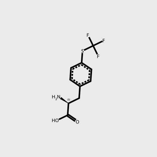 N[C@@H](Cc1ccc(SC(F)(F)F)cc1)C(=O)O